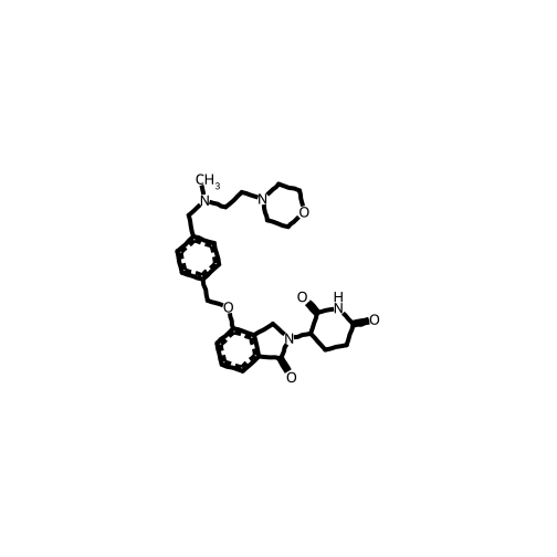 CN(CCN1CCOCC1)Cc1ccc(COc2cccc3c2CN(C2CCC(=O)NC2=O)C3=O)cc1